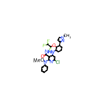 CON(c1ccccc1)c1nc(Cl)cc(Nc2cccc(-c3ccn(C)n3)c2OC(F)C(F)F)c1C(N)=O